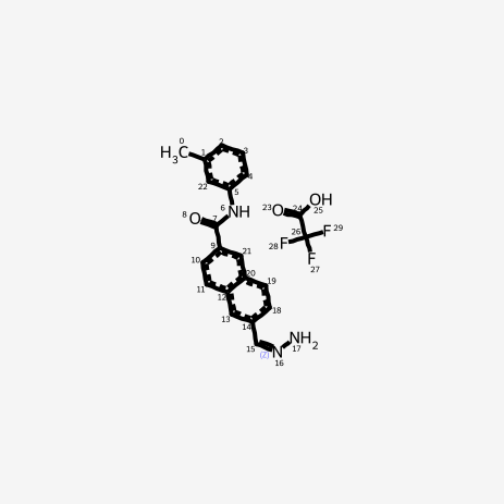 Cc1cccc(NC(=O)c2ccc3cc(/C=N\N)ccc3c2)c1.O=C(O)C(F)(F)F